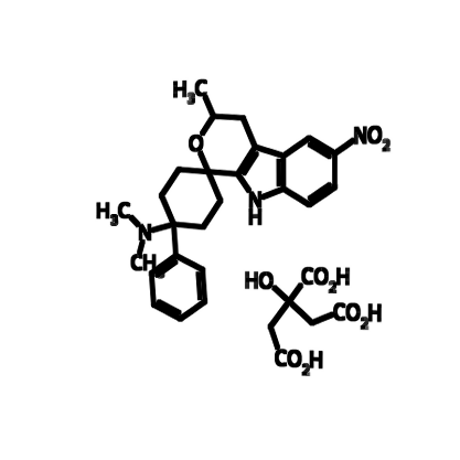 CC1Cc2c([nH]c3ccc([N+](=O)[O-])cc23)C2(CCC(c3ccccc3)(N(C)C)CC2)O1.O=C(O)CC(O)(CC(=O)O)C(=O)O